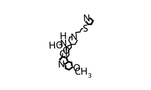 COc1ccc2ncc(Cl)c(CCCC3(C(=O)NO)CCN(CCCSc4cccnc4)CC3)c2c1